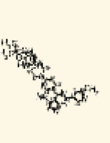 Cn1cc(-c2cn3ncc(C#N)c3c(-c3ccc(N4CC[SH](=O)(NC(=O)OC(C)(C)C)CC4)nc3)n2)cn1